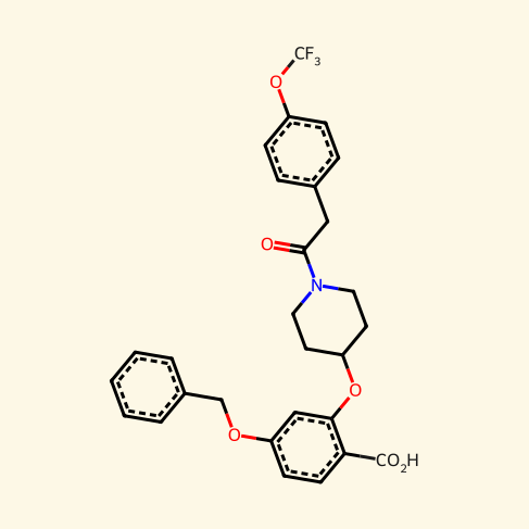 O=C(O)c1ccc(OCc2ccccc2)cc1OC1CCN(C(=O)Cc2ccc(OC(F)(F)F)cc2)CC1